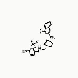 CN(C)c1nc(N[C@H]2CC[C@@H](CNCC3=C(OC(F)(F)F)CC(Br)C=C3)CC2)nc2ccccc12